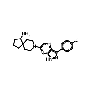 N[C@@H]1CCCC12CCN(c1cnc3c(-c4ccc(Cl)cc4)n[nH]c3n1)CC2